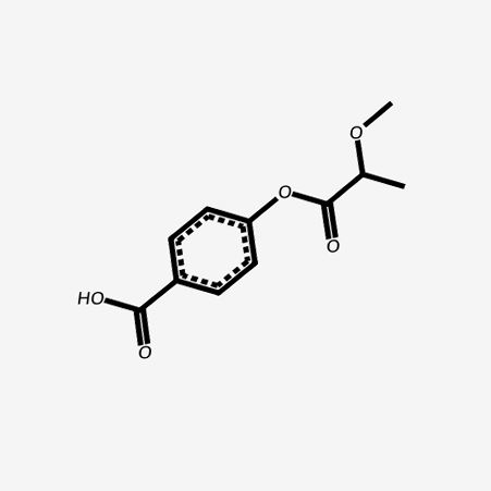 COC(C)C(=O)Oc1ccc(C(=O)O)cc1